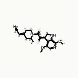 COc1cnc(OC)c2c1C(C(=O)C(=O)N1CC/C(=C\C#N)CC1C)CN2